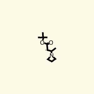 CC([CH]C(=O)OC(C)(C)C)N1CCC1